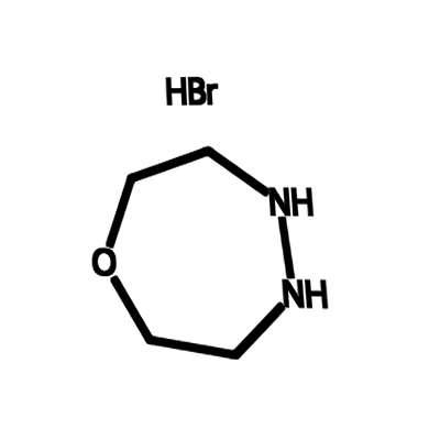 Br.C1COCCNN1